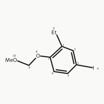 CCc1cc(I)ccc1OCOC